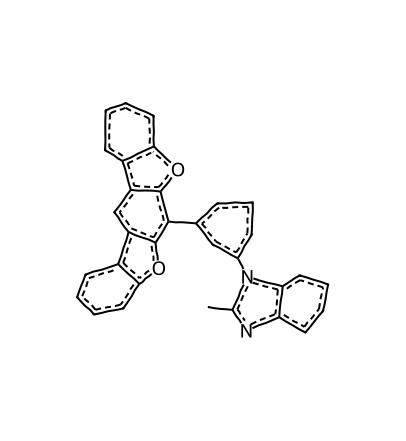 Cc1nc2ccccc2n1-c1cccc(-c2c3oc4ccccc4c3cc3c2oc2ccccc23)c1